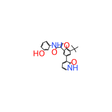 CC(C)(C)c1cc(-c2ccc[nH]c2=O)cc2c(C(=O)Nc3cccc(O)c3)coc12